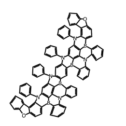 c1ccc(N2c3cc4c(cc3B3c5ccccc5N5c6ccccc6B6c7ccc8oc9ccccc9c8c7N(c7ccccc7)c7cc2c3c5c76)B2c3ccccc3N3c5ccccc5B5c6ccc7oc8ccccc8c7c6N(c6ccccc6)c6cc(c2c3c65)N4c2ccccc2)cc1